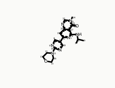 CC(C)Nc1nc(-c2cnc(N3CCOCC3)nc2)cc2ncn(C)c(=O)c12